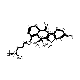 CCN(CC)CCCOc1cccc2c1C(C)(C)c1[nH]c3cc(C#N)ccc3c1C2=O